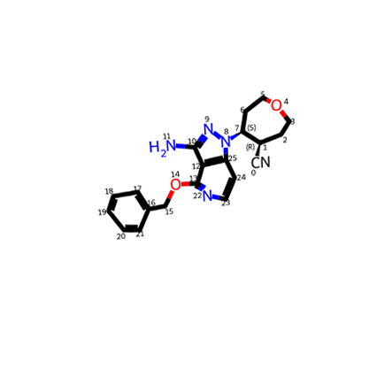 N#C[C@@H]1CCOCC[C@@H]1n1nc(N)c2c(OCc3ccccc3)nccc21